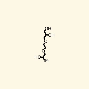 CC(C)C(O)COCCOCC(O)CO